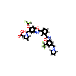 Cc1c(-c2nc3cc(CN4CCC[C@H]4C(=O)O)c(OC(F)F)cc3o2)cccc1-c1nc2cc(CN3CCCC3)cc(C(F)(F)F)c2o1